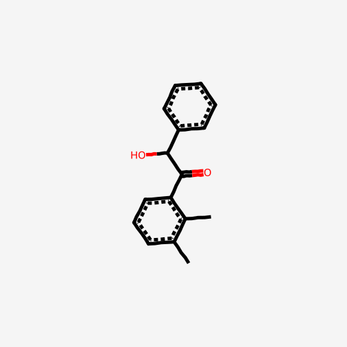 Cc1cccc(C(=O)C(O)c2ccccc2)c1C